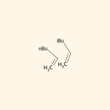 C=CC(C)CC.C=CCCCC